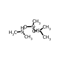 C[Si](O[SiH](C)C)O[SiH](C)C